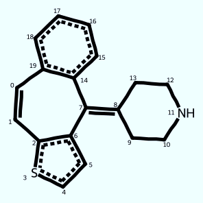 C1=Cc2sccc2C(=C2CCNCC2)c2ccccc21